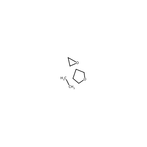 C1CCOC1.C1CO1.CC